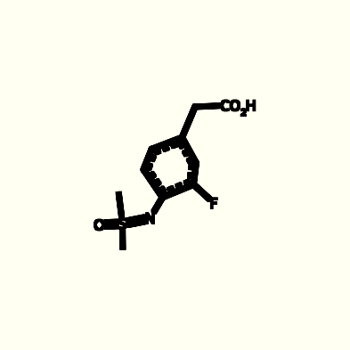 CS(C)(=O)=Nc1ccc(CC(=O)O)cc1F